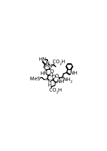 CSCC[C@H](NC(=O)[C@H](CCC(=O)O)NC(=O)[C@@H](N)Cc1c[nH]c2ccccc12)C(=O)N[C@@H](Cc1c[nH]cn1)C(=O)N[C@@H](C)C(=O)O